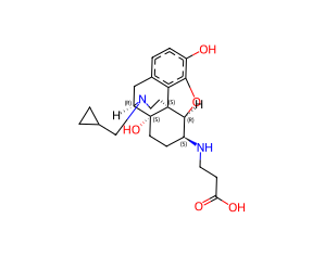 O=C(O)CCN[C@H]1CC[C@@]2(O)[C@H]3Cc4ccc(O)c5c4[C@@]2(CCN3CC2CC2)[C@H]1O5